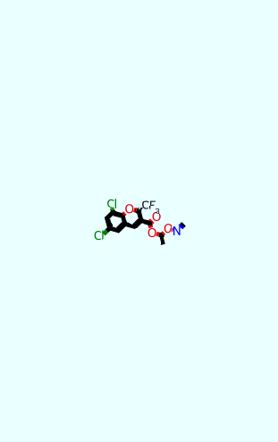 C=NOC(C)OC(=O)C1=Cc2cc(Cl)cc(Cl)c2O[C@@H]1C(F)(F)F